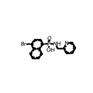 O=P(O)(NCc1ccccn1)c1ccc(Br)c2ccccc12